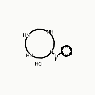 Cl.[CH3][Ti]([c]1ccccc1)[N]1CCCNCCCNCCCNCCC1